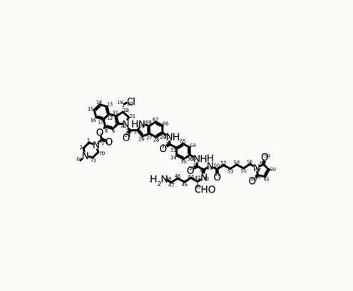 CN1CCN(C(=O)Oc2cc3c(c4ccccc24)[C@H](CCl)CN3C(=O)c2cc3cc(NC(=O)c4ccc(NC(=O)/C(=N\[C@H](C=O)CCCCN)NC(=O)CCCCCN5C(=O)C=CC5=O)cc4)ccc3[nH]2)CC1